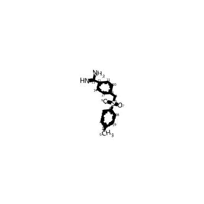 Cc1ccc(S(=O)(=O)[CH]c2ccc(C(=N)N)cc2)cc1